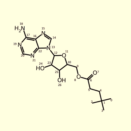 CC(C)(C)CCC(=O)OCC1OC(n2cnc3c(N)ncnc32)C(O)C1O